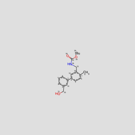 Cc1ccc(-c2cccc(CO)c2)cc1CNC(=O)OC(C)(C)C